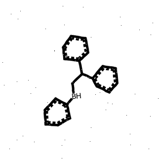 B(CC(c1ccccc1)c1ccccc1)c1ccccc1